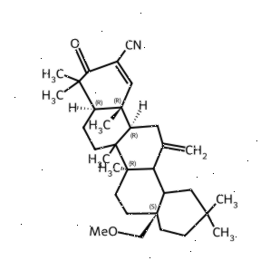 C=C1C[C@H]2C(C)(CC[C@H]3C(C)(C)C(=O)C(C#N)=C[C@@]32C)[C@]2(C)CC[C@@]3(COC)CCC(C)(C)CC3C12